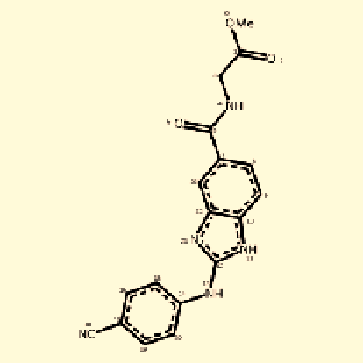 COC(=O)CNC(=O)c1ccc2[nH]c(Nc3ccc(C#N)cc3)nc2c1